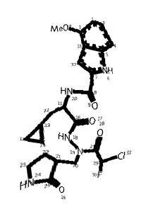 COc1cccc2[nH]c(C(=O)NC(CC3CC3)C(=O)NN(CC3CCNC3=O)C(=O)C(F)Cl)cc12